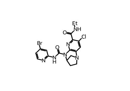 CCNC(=O)c1nc2c(cc1Cl)N1CCC(C1)N2C(=O)Nc1cc(Br)ccn1